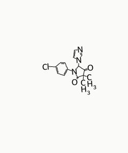 CC1(C)C(=O)C(n2ccnc2)N(c2ccc(Cl)cc2)C1=O